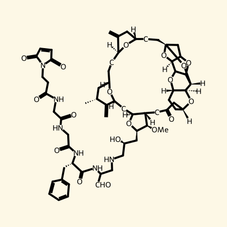 C=C1C[C@@H]2CC[C@@]34CC5OC6C(O[C@H]7CC[C@H](CC(=O)C[C@@H]8[C@@H](OC)[C@@H](C[C@H](O)CNCC(C=O)NC(=O)[C@H](Cc9ccccc9)NC(=O)CNC(=O)CNC(=O)CCN9C(=O)C=CC9=O)O[C@H]8C[C@H]8O[C@@H](CC[C@@H]1O2)C[C@@H](C)C8=C)O[C@@H]7[C@@H]6O3)[C@H]5O4